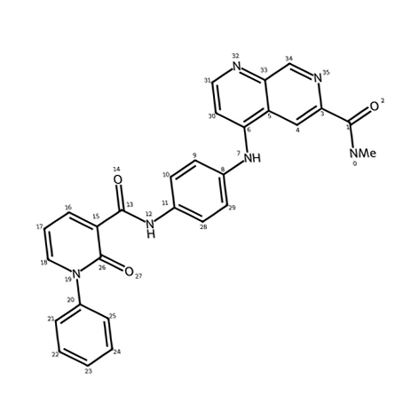 CNC(=O)c1cc2c(Nc3ccc(NC(=O)c4cccn(-c5ccccc5)c4=O)cc3)ccnc2cn1